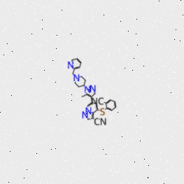 Cc1c(-c2cc(Sc3ccccc3C#N)c3c(C#N)cnn3c2)cnn1C1CCN(Cc2ccccn2)CC1